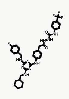 O=C(Cc1ccc(Nc2nc(NCc3ccc(F)cc3)nc(NCC3CCCCC3)n2)cc1)NNC(=O)Nc1ccc(C(F)(F)F)cc1